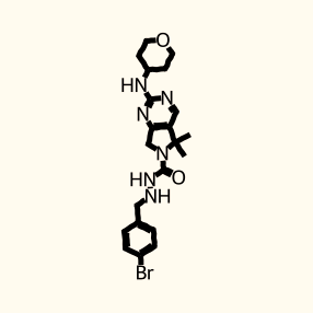 CC1(C)c2cnc(NC3CCOCC3)nc2CN1C(=O)NNCc1ccc(Br)cc1